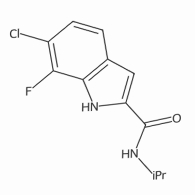 CC(C)NC(=O)c1cc2ccc(Cl)c(F)c2[nH]1